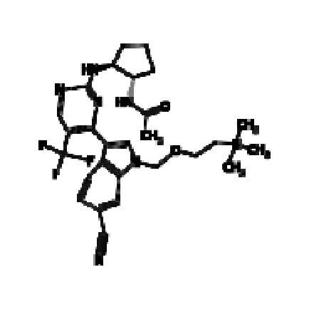 CC(=O)N[C@H]1CCC[C@@H]1Nc1ncc(C(F)(F)F)c(-c2cn(COCC[Si](C)(C)C)c3cc(C#N)ccc23)n1